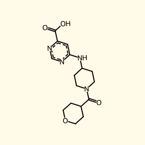 O=C(O)c1cc(NC2CCN(C(=O)C3CCOCC3)CC2)ncn1